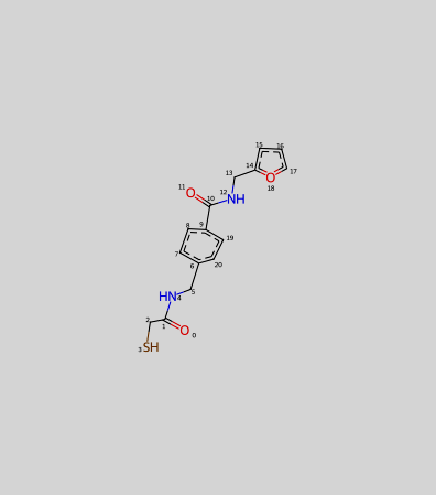 O=C(CS)NCc1ccc(C(=O)NCc2ccco2)cc1